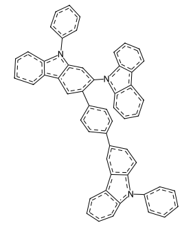 c1ccc(-n2c3ccccc3c3cc(-c4ccc(-c5cc6c7ccccc7n(-c7ccccc7)c6cc5-n5c6ccccc6c6ccccc65)cc4)ccc32)cc1